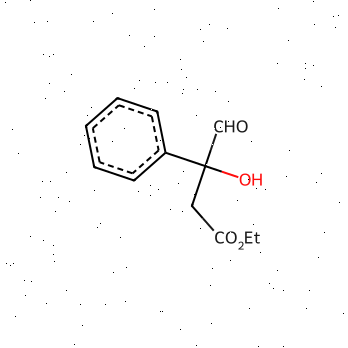 CCOC(=O)CC(O)(C=O)c1ccccc1